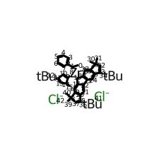 C/[C](c1ccccc1)=[Zr+2](/[C]1=CC(C(C)(C)C)=CC1C)[CH]1c2cc3c(cc2-c2cc4c(cc21)C(C)(C)C=C4C(C)(C)C)C(C(C)(C)C)=CC3(C)C.[Cl-].[Cl-]